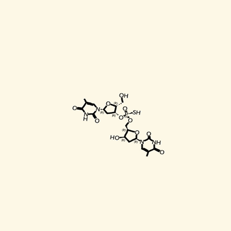 Cc1cn([C@H]2C[C@@H](O)[C@@H](CO[P@](=O)(S)O[C@@H]3C[C@H](n4cc(C)c(=O)[nH]c4=O)O[C@@H]3CO)O2)c(=O)[nH]c1=O